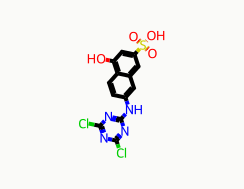 O=S(=O)(O)c1cc(O)c2ccc(Nc3nc(Cl)nc(Cl)n3)cc2c1